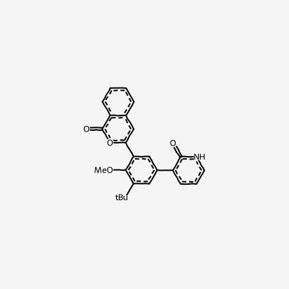 COc1c(-c2cc3ccccc3c(=O)o2)cc(-c2ccc[nH]c2=O)cc1C(C)(C)C